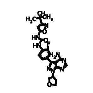 CC(C)(C)c1cc(NC(=O)Nc2ccc(-c3nn(C4CCOC4)c4ncnc(N)c34)cc2F)on1